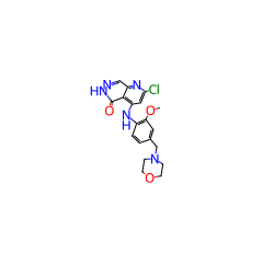 COc1cc(CN2CCOCC2)ccc1Nc1cc(Cl)nc2cn[nH]c(=O)c12